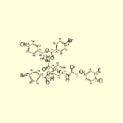 O=C(COc1ccc(Cl)c(F)c1)NC12CCC(C(=O)N/C=C(\OC(=O)c3ccc(Br)cc3)c3ccc(Cl)cc3)(CC1)[C@H](OC(=O)c1ccc(Br)cc1)C2